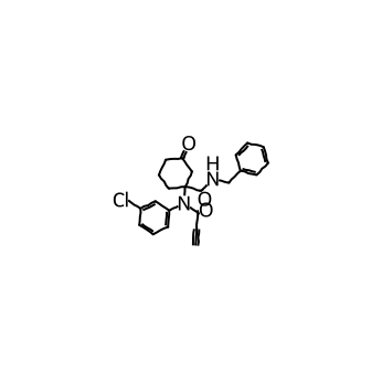 C#CC(=O)N(c1cccc(Cl)c1)C1(C(=O)NCc2ccccc2)CCCC(=O)C1